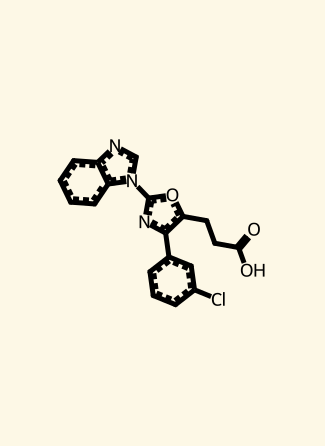 O=C(O)CCc1oc(-n2cnc3ccccc32)nc1-c1cccc(Cl)c1